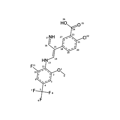 COc1cc(C(F)(F)F)cc(F)c1N/C=C(\C=N)c1ccc(Cl)c(C(=O)O)c1